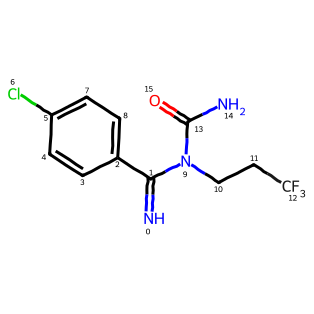 N=C(c1ccc(Cl)cc1)N(CCC(F)(F)F)C(N)=O